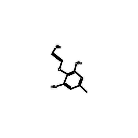 CCCCc1cc(C)cc(CCCC)c1O/C=C/C(C)(C)C